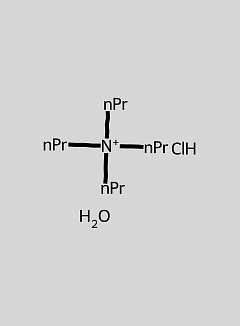 CCC[N+](CCC)(CCC)CCC.Cl.O